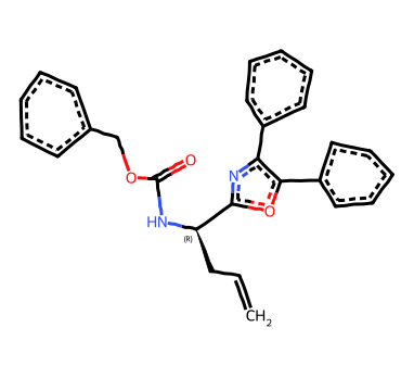 C=CC[C@@H](NC(=O)OCc1ccccc1)c1nc(-c2ccccc2)c(-c2ccccc2)o1